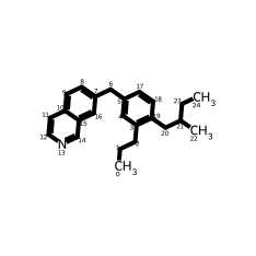 CCCc1cc(Cc2ccc3ccncc3c2)ccc1CC(C)CC